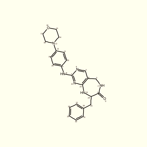 O=C1NCc2cnc(Nc3ccc(N4CCOCC4)cc3)nc2NC1Cc1ccccc1